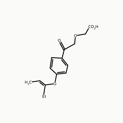 CC=C(CC)Oc1ccc(C(=O)COCC(=O)O)cc1